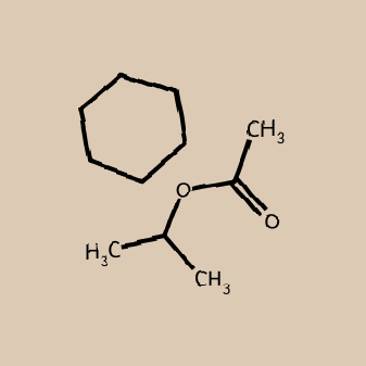 C1CCCCC1.CC(=O)OC(C)C